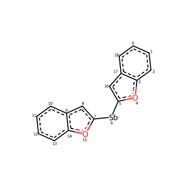 c1ccc2o[c]([Sb][c]3cc4ccccc4o3)cc2c1